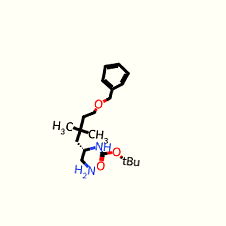 CC(C)(CCOCc1ccccc1)C[C@@H](CN)NC(=O)OC(C)(C)C